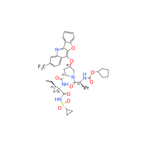 C=C[C@@H]1C[C@]1(NC(=O)[C@@H]1C[C@@H](Oc2c3ccc(C(F)(F)F)cc3nc3c2oc2ccccc23)CN1C(=O)[C@@H](NC(=O)OC1CCCC1)C(C)C)C(=O)NS(=O)(=O)C1CC1